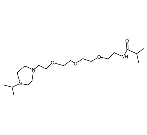 CC(C)C(=O)NCCOCCOCCOCCN1CCN(C(C)C)CC1